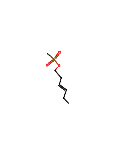 CCC=CCCOS(C)(=O)=O